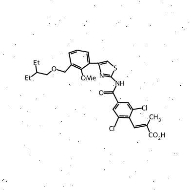 CCC(CC)COCc1cccc(-c2csc(NC(=O)c3cc(Cl)c(/C=C(\C)C(=O)O)c(Cl)c3)n2)c1OC